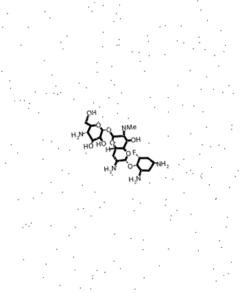 CNC1C(O[C@H]2OC(CO)[C@@H](N)[C@H](O)C2O)O[C@H]2CC(N)[C@@H](O[C@H]3C(N)C[C@@H](N)C[C@H]3F)OC2C1O